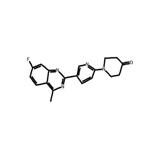 Cc1nc(-c2ccc(N3CCC(=O)CC3)nc2)nc2cc(F)ccc12